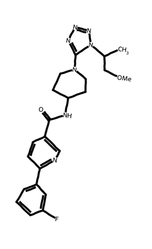 COCC(C)n1nnnc1N1CCC(NC(=O)c2ccc(-c3cccc(F)c3)nc2)CC1